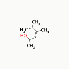 CC(=CC(C)O)C(C)C